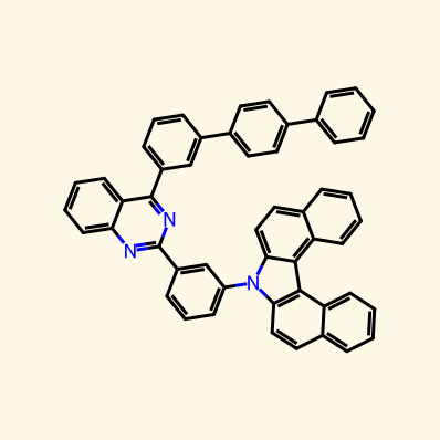 c1ccc(-c2ccc(-c3cccc(-c4nc(-c5cccc(-n6c7ccc8ccccc8c7c7c8ccccc8ccc76)c5)nc5ccccc45)c3)cc2)cc1